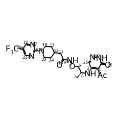 CC(=O)c1c(N[C@@H](C)CONC(=O)CC2CCN(c3ncc(C(F)(F)F)cn3)CC2)cn[nH]c1=O